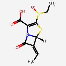 C/C=C1\C(=O)N2C(C(=O)O)=C([S+]([O-])CC)S[C@H]12